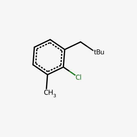 Cc1cccc(CC(C)(C)C)c1Cl